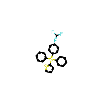 FC(F)F.c1ccc(S(c2ccccc2)(c2ccccc2)c2cccs2)cc1